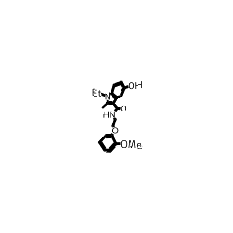 CCn1c(C)c(C(=O)NCCOc2ccccc2OC)c2cc(O)ccc21